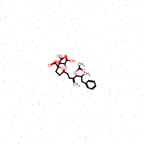 C=C(CCC12CCC(C(=O)O)(O1)C(O)(C(=O)O)C(C(=O)O)O2)C(OC(C)=O)C(C)Cc1ccccc1